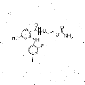 N#Cc1ccc(C(=O)NOCCOC(N)=O)c(Nc2ccc(I)cc2F)c1